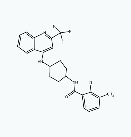 Cc1cccc(C(=O)NC2CCC(Nc3cc(C(F)(F)F)nc4ccccc34)CC2)c1Cl